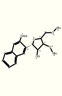 COc1cc2ccccc2cc1[C@@H]1OC(COC(C)(C)C)C(OC(C)(C)C)C1O